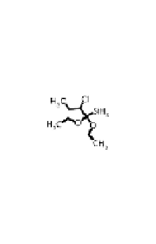 CCOC([SiH3])(OCC)C(Cl)CC